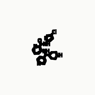 O=C(Nc1ccc(Cl)cn1)c1ncccc1NC(c1ccncc1)C1CCNCC1